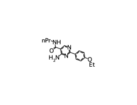 CCCNC(=O)c1cnc(-c2ccc(OCC)cc2)nc1N